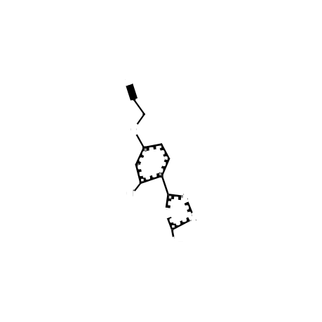 C#CCOc1ccc(-c2nnc(S)o2)c(Cl)c1